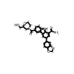 NC(=O)c1cc(-c2ccc3c(c2)OCO3)cc2c1[nH]c1ccc(C(=O)N3CCOC(CO)C3)cc12